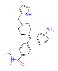 CCN(CC)C(=O)c1ccc(C(=C2CCN(Cc3ccc[nH]3)CC2)c2cccc(N)c2)cc1